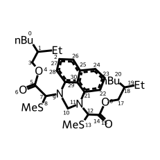 CCCCC(CC)COC(=O)C(SC)N1CN(C(SC)C(=O)OCC(CC)CCCC)c2cccc3cccc1c23